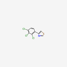 Clc1ccc(-c2cs[c]n2)c(Cl)c1Cl